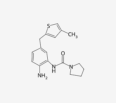 Cc1csc(Cc2ccc(N)c(NC(=O)N3CCCC3)c2)c1